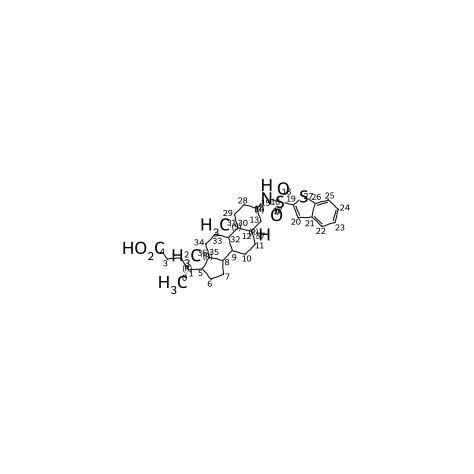 C[C@H](CCC(=O)O)C1CCC2C3CC[C@@H]4C[C@H](NS(=O)(=O)c5cc6ccccc6s5)CC[C@]4(C)C3CC[C@@]21C